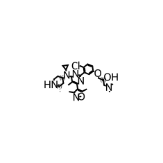 Cc1noc(C)c1-c1nc(-c2cc(OC[C@H](O)CN(C)C)ccc2Cl)nc(N(C2CC2)[C@H]2CCN[C@@H](C)C2)c1C